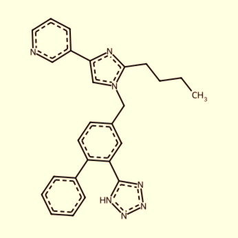 CCCCc1nc(-c2cccnc2)cn1Cc1ccc(-c2ccccc2)c(-c2nnn[nH]2)c1